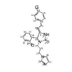 O=C1NC(=NCc2ccc(Cl)cc2)C(c2ccccc2Cl)N1CCCn1ccnc1